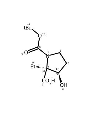 CC[C@@]1(C(=O)O)[C@H](O)CCN1C(=O)OC(C)(C)C